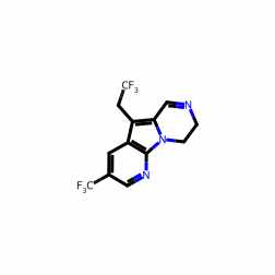 FC(F)(F)Cc1c2n(c3ncc(C(F)(F)F)cc13)CCN=C2